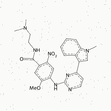 COc1cc(C(=O)NCCN(C)C)c([N+](=O)[O-])cc1Nc1nccc(-c2cn(C)c3ccccc23)n1